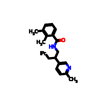 Cc1ccc(C(CNC(=O)c2cccc(C)c2C)CC(C)C)cn1